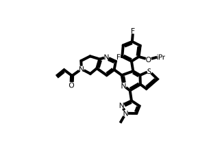 C=CC(=O)N1CCc2ncc(-c3nc(-c4ccn(C)n4)c4ccsc4c3-c3c(F)cc(F)cc3OC(C)C)cc2C1